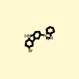 Brc1ccc2[nH]c3ccc(-n4nnc5ccccc54)cc3c2c1